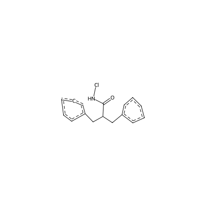 O=C(NCl)C(Cc1ccccc1)Cc1ccccc1